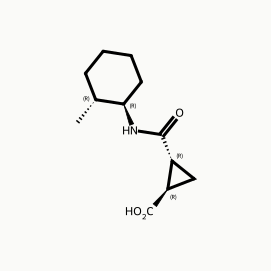 C[C@@H]1CCCC[C@H]1NC(=O)[C@@H]1C[C@H]1C(=O)O